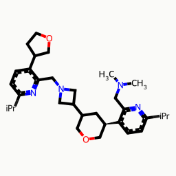 CC(C)c1ccc(C2CCOC2)c(CN2CC(C3COC[C@H](c4ccc(C(C)C)nc4CN(C)C)C3)C2)n1